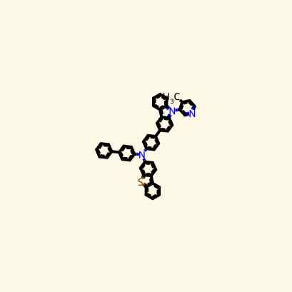 Cc1ccncc1-n1c2ccccc2c2cc(-c3ccc(N(c4ccc(-c5ccccc5)cc4)c4ccc5c(c4)sc4ccccc45)cc3)ccc21